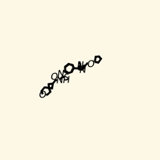 Cn1c(C2=Cc3sc(NC(=O)C4CC5(CCOCC5)C4)nc3C=CC2)cnc1COC1CCCC1